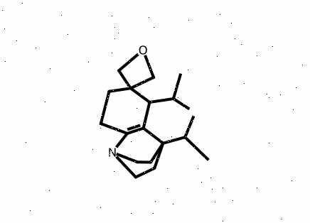 CC(C)C1C2=C(CCC13COC3)N1CCC2(C(C)C)CC1